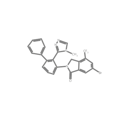 Cn1cnnc1-c1c(-c2ccccc2)cccc1N1Cc2c(cc(Br)cc2C(F)(F)F)C1=O